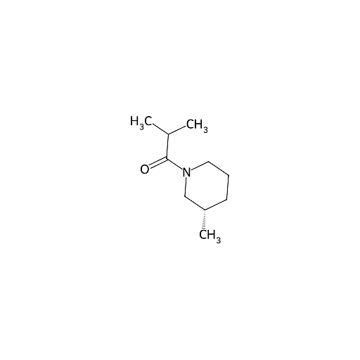 CC(C)C(=O)N1CCC[C@H](C)C1